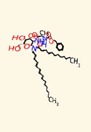 CCCCCCCCCCCCCCCCN(C(=O)CCCCCCCCCCC)[C@@H]1O[C@H](CO)[C@@H](O)[C@H](O)[C@H]1NC(=O)[C@H](C)NC(=O)OCc1ccccc1